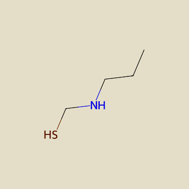 CCCNCS